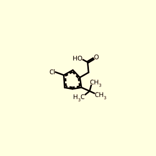 CC(C)(C)c1ccc(Cl)cc1CC(=O)O